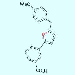 COc1ccc(Cc2ccc(-c3cccc(C(=O)O)c3)o2)cc1